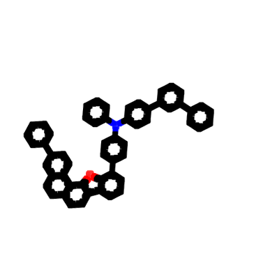 c1ccc(-c2cccc(-c3ccc(N(c4ccccc4)c4ccc(-c5cccc6c5oc5c6ccc6ccc7cc(-c8ccccc8)ccc7c65)cc4)cc3)c2)cc1